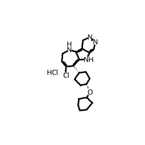 Cl.ClC1=CCNc2c3c([nH]c2=C1[C@H]1CC[C@@H](OC2CCCCC2)CC1)=CN=NC3